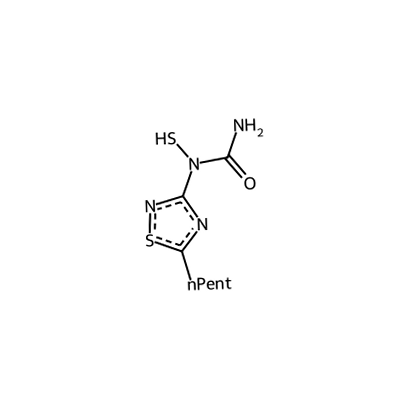 CCCCCc1nc(N(S)C(N)=O)ns1